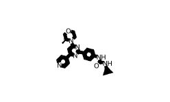 C[C@H]1COCCN1c1cc(-c2ccncc2)nc(-c2ccc(NC(=O)NC3CC3)cc2)n1